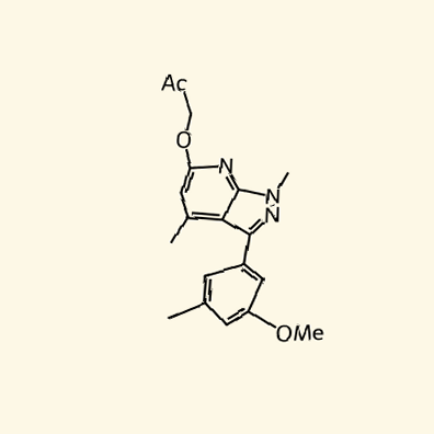 COc1cc(C)cc(-c2nn(C)c3nc(OCC(C)=O)cc(C)c23)c1